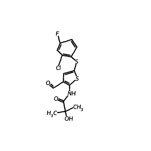 CC(C)(O)C(=O)Nc1sc(Sc2ccc(F)cc2Cl)cc1C=O